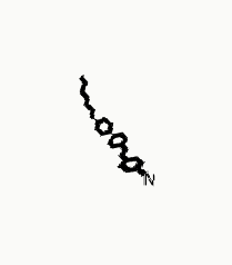 CCCCCCC[C@H]1CC[C@H](C2CC=C(CCc3ccc(C#N)cc3)CC2)CC1